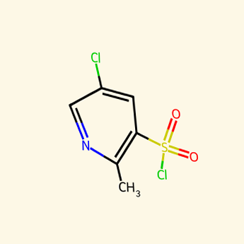 Cc1ncc(Cl)cc1S(=O)(=O)Cl